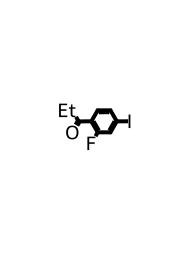 CCC(=O)c1ccc(I)cc1F